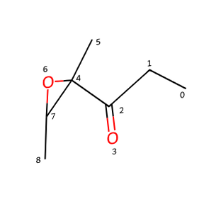 CCC(=O)C1(C)OC1C